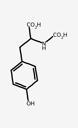 O=C(O)NC(Cc1ccc(O)cc1)C(=O)O